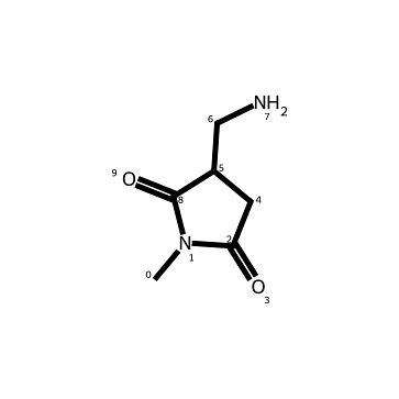 CN1C(=O)CC(CN)C1=O